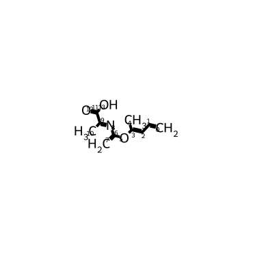 C=C/C=C(\C)OC(=C)/N=C(\C)C(=O)O